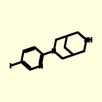 Ic1ccc(N2CC3CNCC(C3)C2)nc1